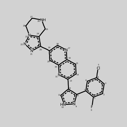 Fc1ccc(Cl)cc1-c1n[nH]cc1-c1ccc2ncc(-c3nnn4c3CNCC4)cc2n1